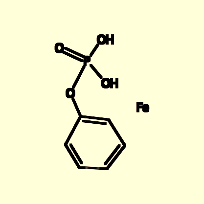 O=P(O)(O)Oc1ccccc1.[Fe]